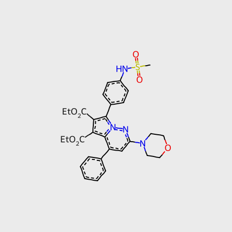 CCOC(=O)c1c(C(=O)OCC)c2c(-c3ccccc3)cc(N3CCOCC3)nn2c1-c1ccc(NS(C)(=O)=O)cc1